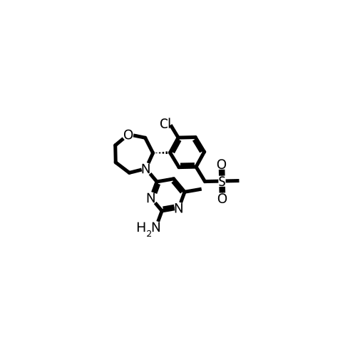 Cc1cc(N2CCCOC[C@@H]2c2cc(CS(C)(=O)=O)ccc2Cl)nc(N)n1